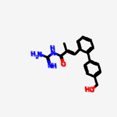 C/C(=C\c1ccccc1-c1ccc(CO)cc1)C(=O)NC(=N)N